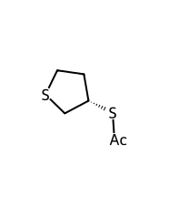 CC(=O)S[C@H]1CCSC1